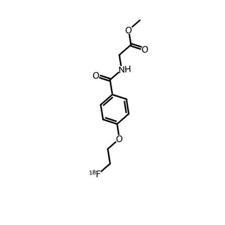 COC(=O)CNC(=O)c1ccc(OCC[18F])cc1